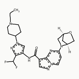 CCN1CCC(n2cc(NC(=O)c3cnn4ccc(N5C[C@@H]6C[C@H]5CO6)nc34)c(C(F)F)n2)CC1